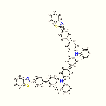 CC1(C)c2ccccc2N(c2ccc(-c3ccc(N(c4ccccc4)c4ccc(-c5ccc(-c6nc7ccccc7s6)cc5)cc4)cc3)cc2)c2ccc(-c3ccc(-c4nc5ccccc5s4)cc3)cc21